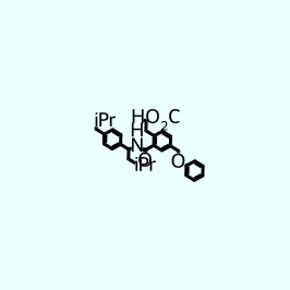 CC(C)Cc1ccc(C(CC(C)C)NC(=O)c2cc(COc3ccccc3)ccc2CCC(=O)O)cc1